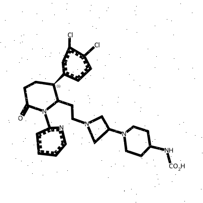 O=C(O)NC1CCN(C2CN(CCC3[C@H](c4ccc(Cl)c(Cl)c4)CCC(=O)N3c3ccccn3)C2)CC1